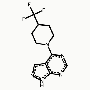 FC(F)(F)C1CCN(c2ncnc3[nH]ncc23)CC1